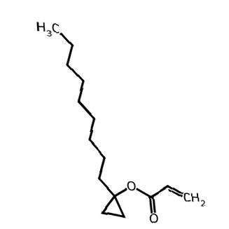 C=CC(=O)OC1(CCCCCCCCC)CC1